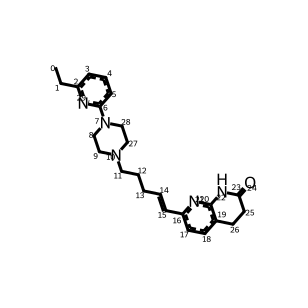 CCc1cccc(N2CCN(CCCC=Cc3ccc4c(n3)NC(=O)CC4)CC2)n1